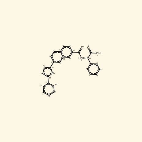 O=C(N[C@@H](C(=O)O)c1ccccc1)c1ccc2ccc(-c3nc(-c4ccccc4)cs3)cc2c1